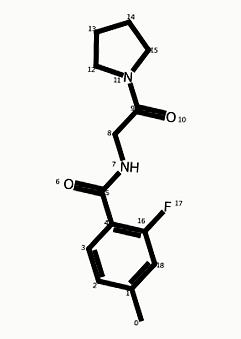 Cc1ccc(C(=O)NCC(=O)N2CCCC2)c(F)c1